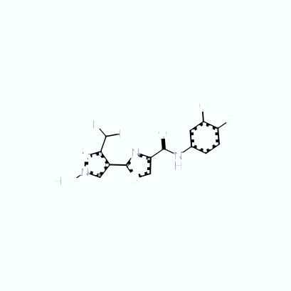 Cn1cc(-c2nc(C(=O)Nc3ccc(Cl)c(Cl)c3)cs2)c(C(F)F)n1